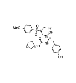 COc1ccc(S(=O)(=O)N(CC(C)C)C[C@@H](O)[C@H](Cc2ccc(O)cc2)NC(=O)O[C@H]2CCOC2)cc1